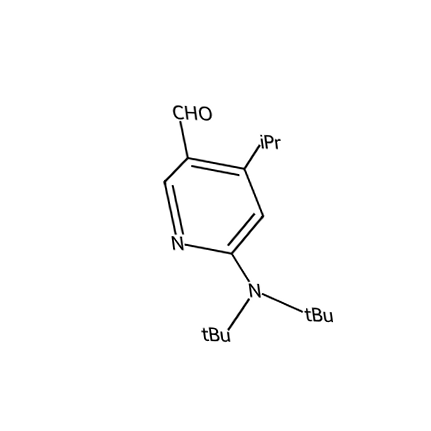 CC(C)c1cc(N(C(C)(C)C)C(C)(C)C)ncc1C=O